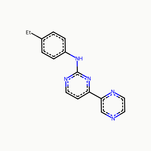 CCc1ccc(Nc2nccc(-c3cnccn3)n2)cc1